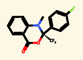 CN1c2ccccc2C(=O)O[C@@]1(c1ccc(F)cc1)C(F)(F)F